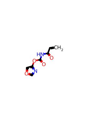 C=CC(=O)NC(=O)Oc1cocn1